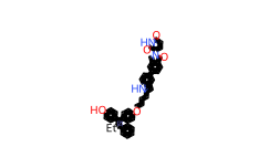 CC/C(=C(\c1ccc(O)cc1)c1ccc(OCCCCc2cc3cc(-c4ccc5c(c4)CN(C4CCC(=O)NC4=O)C5=O)ccc3[nH]2)cc1)c1ccccc1